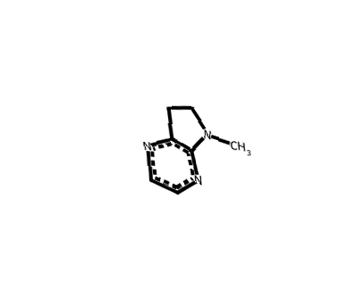 CN1CCc2nccnc21